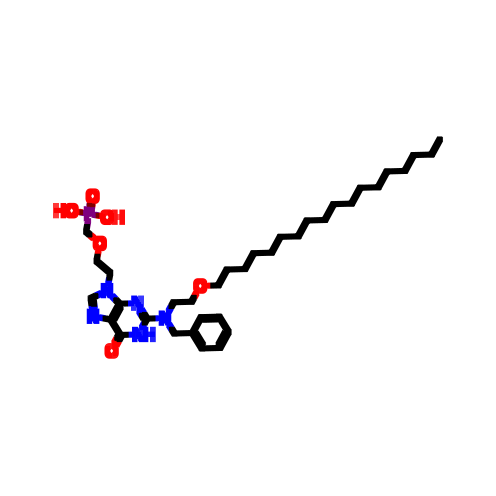 CCCCCCCCCCCCCCCCCCOCCN(Cc1ccccc1)c1nc2c(ncn2CCOCP(=O)(O)O)c(=O)[nH]1